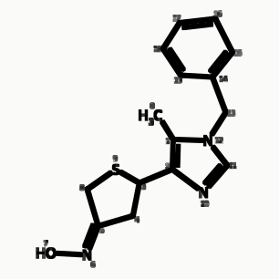 Cc1c(C2CC(=NO)CS2)ncn1Cc1ccccc1